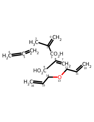 C=C(C)C(=O)O.C=C=C.C=CC(=O)O.C=CCOCC=C